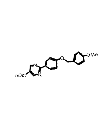 CCCCCCCCc1cnc(-c2ccc(OCc3ccc(OC)cc3)cc2)nc1